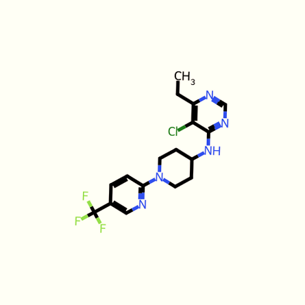 CCc1ncnc(NC2CCN(c3ccc(C(F)(F)F)cn3)CC2)c1Cl